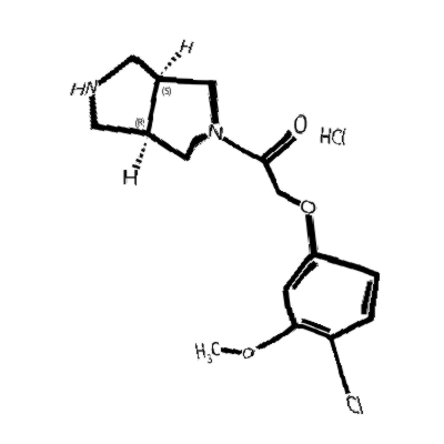 COc1cc(OCC(=O)N2C[C@H]3CNC[C@H]3C2)ccc1Cl.Cl